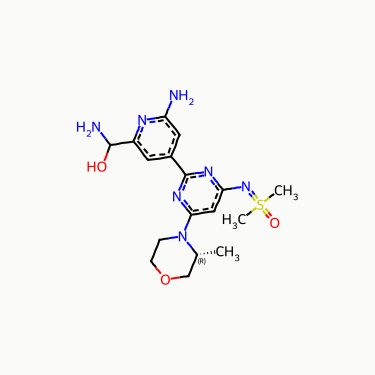 C[C@@H]1COCCN1c1cc(N=S(C)(C)=O)nc(-c2cc(N)nc(C(N)O)c2)n1